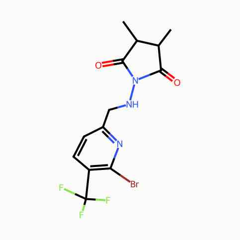 CC1C(=O)N(NCc2ccc(C(F)(F)F)c(Br)n2)C(=O)C1C